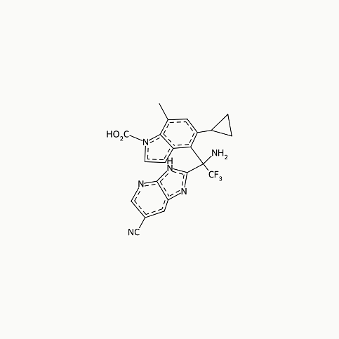 Cc1cc(C2CC2)c(C(N)(c2nc3cc(C#N)cnc3[nH]2)C(F)(F)F)c2ccn(C(=O)O)c12